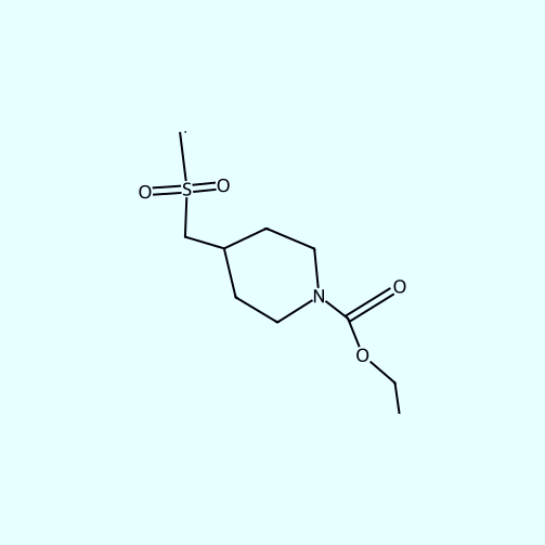 [CH2]S(=O)(=O)CC1CCN(C(=O)OCC)CC1